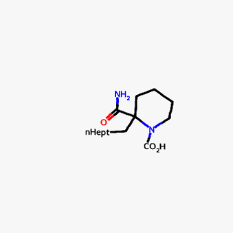 CCCCCCCCC1(C(N)=O)CCCCN1C(=O)O